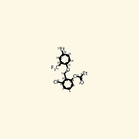 CCC(=O)Oc1cccc(Cl)c1COc1ccc(CC)cc1C(F)(F)F